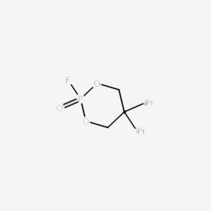 CC(C)C1(C(C)C)COP(=O)(F)OC1